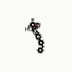 OC(CN1CCC2(CCN(c3ccc(Cc4ccccc4)cc3)CC2)C1)(Cn1cncn1)c1ccc(F)cc1F